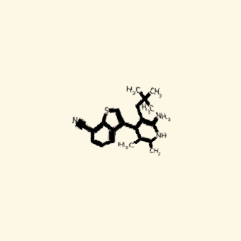 CC1=C(C)C(c2csc3c(C#N)cccc23)C(CC(C)(C)C)=C(N)N1